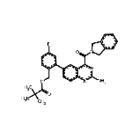 CC(C)(N)C(=O)OCc1ccc(F)cc1-c1ccc2nc(N)nc(C(=O)N3Cc4ccccc4C3)c2c1